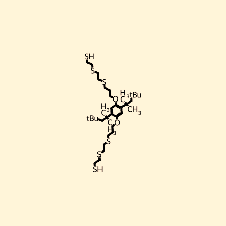 CC(C)(C)CC(C)(C)c1cc(OCCCSCCSCCS)c(C(C)(C)CC(C)(C)C)cc1OCCCSCCSCCS